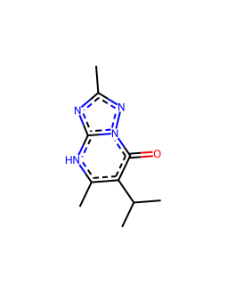 Cc1nc2[nH]c(C)c(C(C)C)c(=O)n2n1